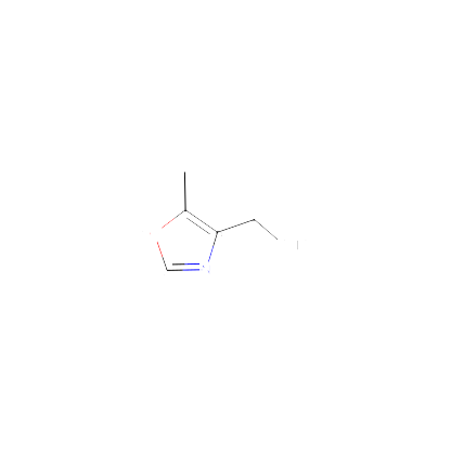 Cc1ocnc1CC=O